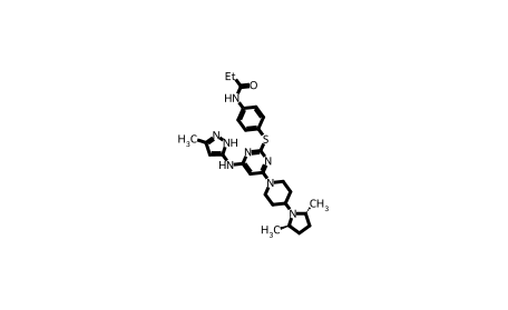 CCC(=O)Nc1ccc(Sc2nc(Nc3cc(C)n[nH]3)cc(N3CCC(N4[C@H](C)CC[C@H]4C)CC3)n2)cc1